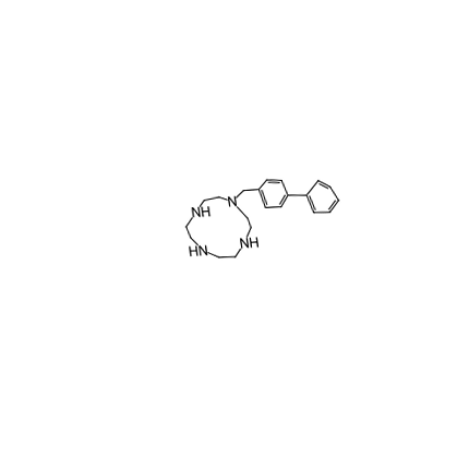 c1ccc(-c2ccc(CN3CCNCCNCCNCC3)cc2)cc1